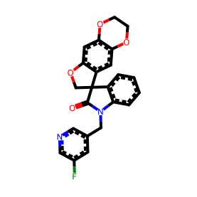 O=C1N(Cc2cncc(F)c2)c2ccccc2C12COc1cc3c(cc12)OCCO3